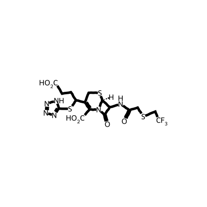 O=C(O)CCC(Sc1nnn[nH]1)C1=C(C(=O)O)N2C(=O)C(NC(=O)CSCC(F)(F)F)[C@@H]2SC1